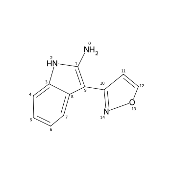 Nc1[nH]c2ccccc2c1-c1ccon1